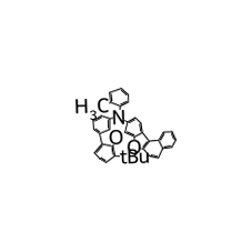 Cc1ccccc1N(c1ccc2c(c1)oc1ccc3ccccc3c12)c1cccc2c1oc1c(C(C)(C)C)cccc12